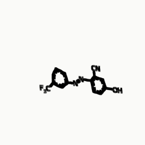 N#Cc1cc(O)ccc1N=Nc1cccc(C(F)(F)F)c1